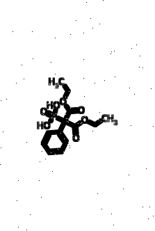 CCOC(=O)C(C(=O)OCC)(c1ccccc1)P(=O)(O)O